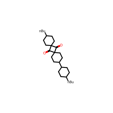 CCCCC1CCC(C2CCC3(CC2)C(=O)C2(CCC(CCCC)CC2)C3=O)CC1